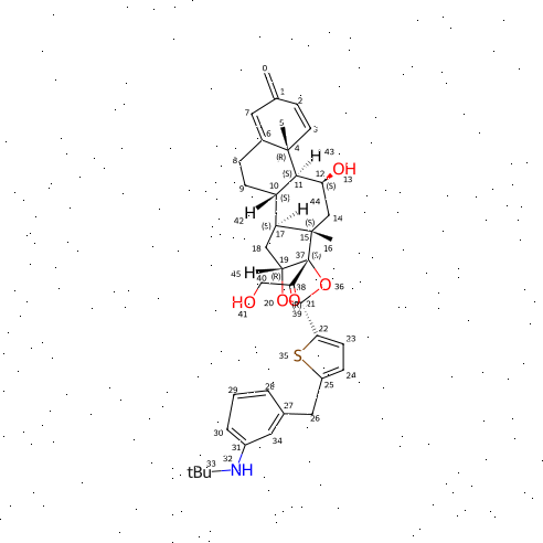 C=C1C=C[C@@]2(C)C(=C1)CC[C@@H]1[C@@H]2[C@@H](O)C[C@@]2(C)[C@H]1C[C@H]1O[C@@H](c3ccc(Cc4cccc(NC(C)(C)C)c4)s3)O[C@]12C(=O)CO